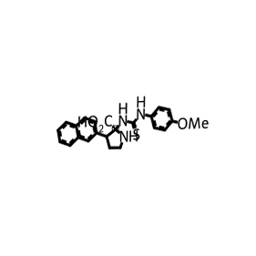 COc1ccc(NC(=S)N[C@]2(C(=O)O)NCCC2c2ccc3ccccc3c2)cc1